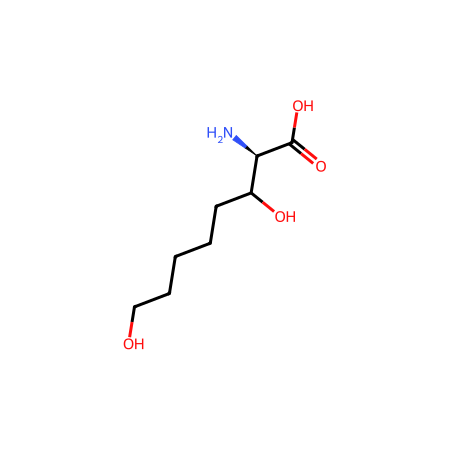 N[C@@H](C(=O)O)C(O)CCCCCO